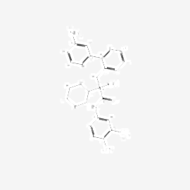 N#Cc1ccc(NC(=O)C(O)(Cc2ccccc2-c2cccc(N)c2)C2CCCCC2)cc1C(F)(F)F